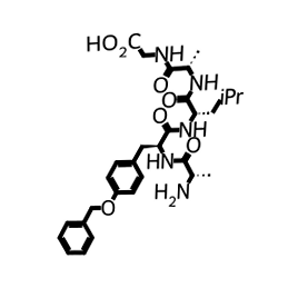 CC(C)C[C@H](NC(=O)[C@H](Cc1ccc(OCc2ccccc2)cc1)NC(=O)[C@H](C)N)C(=O)N[C@@H](C)C(=O)NCC(=O)O